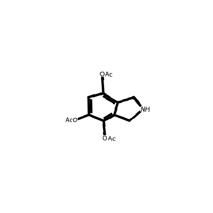 CC(=O)Oc1cc(OC(C)=O)c(OC(C)=O)c2c1CNC2